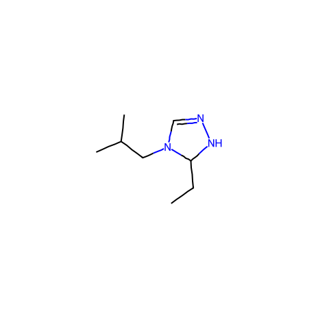 CCC1NN=CN1CC(C)C